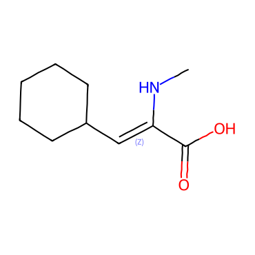 CN/C(=C\C1CCCCC1)C(=O)O